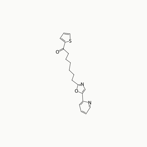 O=C(CCCCCCc1ncc(-c2ccccn2)o1)c1cccs1